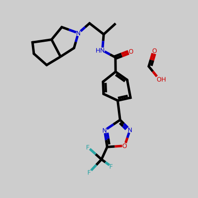 CC(CN1CC2CCCC2C1)NC(=O)c1ccc(-c2noc(C(F)(F)F)n2)cc1.O=CO